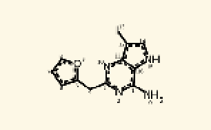 Nc1nc(Cc2ccco2)nc2c(I)c[nH]c12